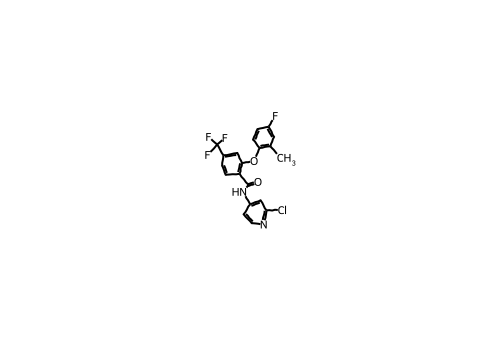 Cc1cc(F)ccc1Oc1cc(C(F)(F)F)ccc1C(=O)Nc1ccnc(Cl)c1